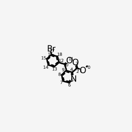 COC(=O)c1ncccc1C(=O)c1cccc(Br)c1